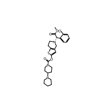 COC(=O)[C@H](c1ccccc1Cl)N1CCc2sc(OC(=O)N3CCC(N4CCCCC4)CC3)cc2C1